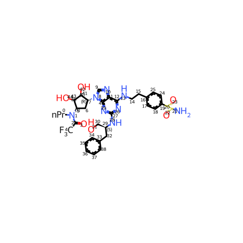 CCCN(C(=O)C(F)(F)F)[C@H]1C[C@@H](n2cnc3c(NCCc4ccc(S(N)(=O)=O)cc4)nc(N[C@H](CO)Cc4ccccc4)nc32)[C@H](O)[C@@H]1O